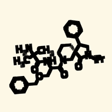 CC(C)N1CC(c2ccccc2)[C@@]2(CCCN(C(=O)C(COCc3ccccc3)NC(=O)C(C)(C)N)C2)C1=O